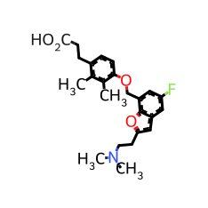 Cc1c(CCC(=O)O)ccc(OCc2cc(F)cc3cc(CCN(C)C)oc23)c1C